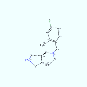 CC(C)CN(Cc1ccc(F)cc1C(F)(F)F)C[C@H]1CCNC1